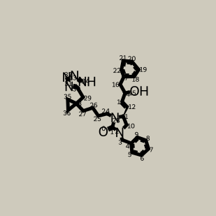 O=C1N(Cc2ccccc2)C[C@H](/C=C/C(O)Cc2ccccc2)N1CCCCC1(Cc2nnn[nH]2)CC1